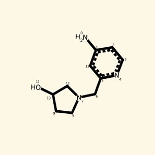 Nc1ccnc(CN2CCC(O)C2)c1